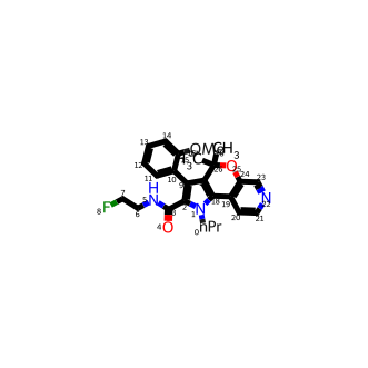 CCCn1c(C(=O)NCCF)c(-c2ccccc2OC)c2c1-c1ccncc1OC2(C)C